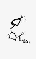 CC(C)(C)OC(=O)N1CCO[C@H](Cc2ccc(N)cc2)C1